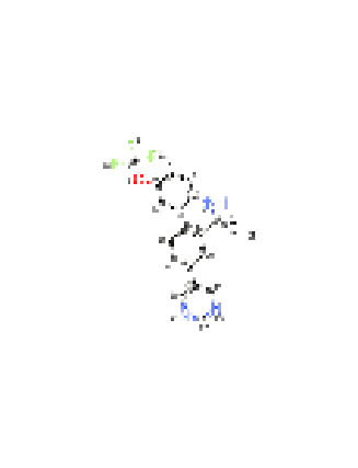 C=C(Nc1ccc(OC(F)(F)F)cc1)c1cccc(-c2cncnc2)c1